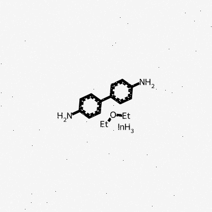 CCOCC.Nc1ccc(-c2ccc(N)cc2)cc1.[InH3]